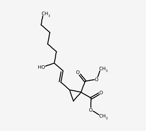 CCCCCC(O)C=CC1CC1(C(=O)OC)C(=O)OC